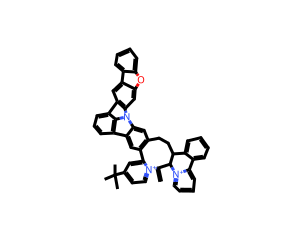 C=C1C2C(CCc3cc4c(cc3-c3cc(C(C)(C)C)cc[n+]31)c1cccc3c5cc6c(cc5n4c13)oc1ccccc16)c1ccccc1-c1cccc[n+]12